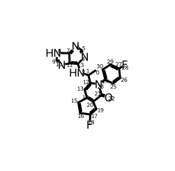 CC(Nc1ncnc2[nH]cnc12)c1cc2ccc(F)cc2c(=O)n1-c1ccc(F)cc1